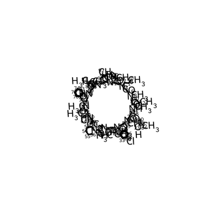 CCCN1CC(=O)N(C)[C@@H](CC(C)C)C(=O)N[C@@H](COC[C@H](C)O)C(=O)N(C)[C@@H](Cc2cccc(Cl)c2)C(=O)N(C)[C@@H](C(C)C)C(=O)N[C@H](C(=O)N2CCCCC2)CC(=O)N[C@H](C(C)C)C(=O)N(C)[C@@H](Cc2ccccc2)C(=O)N[C@@H](CC(C)C)C(=O)N(C)[C@@H](CC(C)C)C(=O)N[C@@H](C(C)O)C1=O